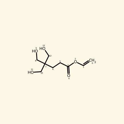 C=COC(=O)CCC(CO)(CO)CO